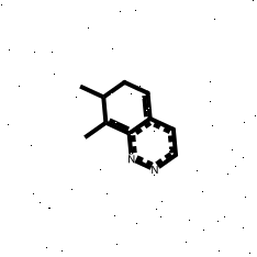 CC1=c2nnccc2=CCC1C